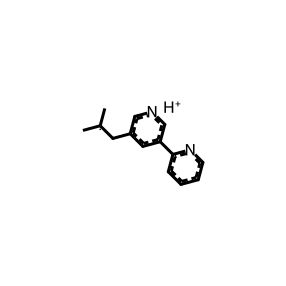 C[C](C)Cc1cncc(-c2ccccn2)c1.[H+]